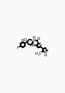 Cc1[nH]ncc1-c1cc2c(s1)C(=O)N[C@]1(CC[C@](O)(c3ccc(F)cc3)CC1)N2